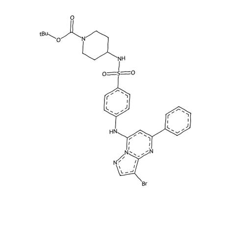 CC(C)(C)OC(=O)N1CCC(NS(=O)(=O)c2ccc(Nc3cc(-c4ccccc4)nc4c(Br)cnn34)cc2)CC1